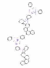 c1ccc(-c2nc(-c3ccccc3)nc(-c3ccc(-n4c5ccccc5c5c6ccc7c(-c8ccc(-c9nc(-c%10ccccc%10)nc(-c%10cccc(-n%11c%12ccccc%12c%12c%13ccc%14ccc%15ccccc%15c%14c%13ccc%12%11)c%10)n9)cc8)cc8ccccc8c7c6ccc54)cc3)n2)cc1